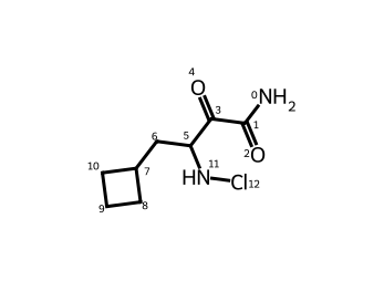 NC(=O)C(=O)C(CC1CCC1)NCl